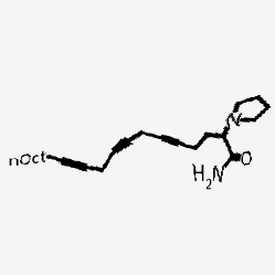 CCCCCCCCC#CCC#CCC#CCCC(C(N)=O)N1CCCC1